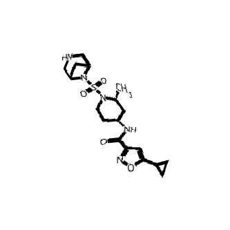 C[C@H]1C[C@@H](NC(=O)c2cc(C3CC3)on2)CCN1S(=O)(=O)N1C2CNCC1C2